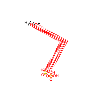 O.O.O.O.O.O.O.O.O.O.O.O.O.O.O.O.O.O.O.O.O.O.O.O.O.O.O.O.O.O.O=P(O)(O)OS(=O)(=O)O.[AlH3].[NaH]